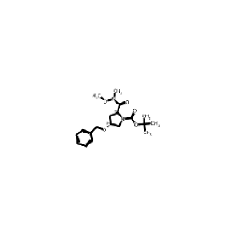 CON(C)C(=O)[C@@H]1C[C@@H](OCc2ccccc2)CN1C(=O)OC(C)(C)C